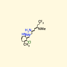 CN/C(=C\C=C(/N)CN/C=C1\C(=N)C=CCC(C)=C1Cl)CCC(F)(F)F